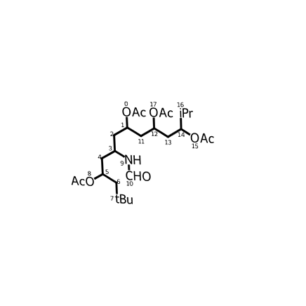 CC(=O)OC(CC(CC(CC(C)(C)C)OC(C)=O)NC=O)CC(CC(OC(C)=O)C(C)C)OC(C)=O